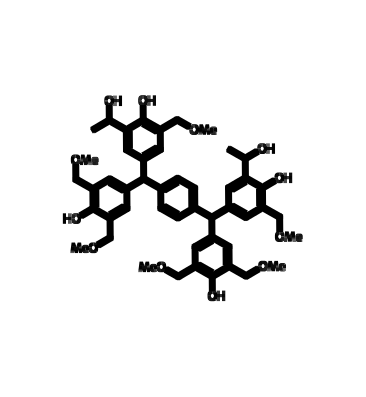 COCc1cc(C(c2ccc(C(c3cc(COC)c(O)c(COC)c3)c3cc(COC)c(O)c(C(C)O)c3)cc2)c2cc(COC)c(O)c(C(C)O)c2)cc(COC)c1O